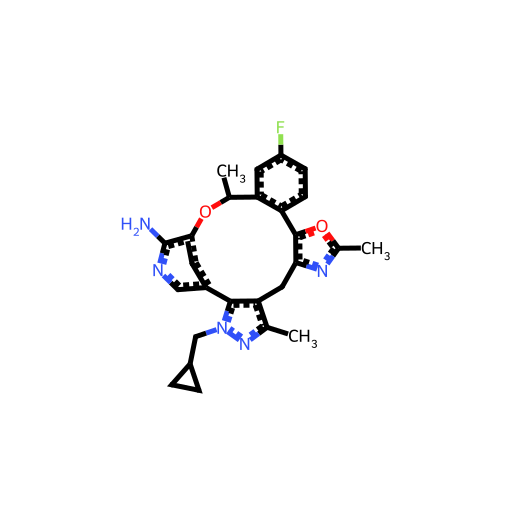 Cc1nc2c(o1)-c1ccc(F)cc1C(C)Oc1cc(cnc1N)-c1c(c(C)nn1CC1CC1)C2